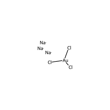 [Cl][Au]([Cl])[Cl].[Na].[Na].[Na]